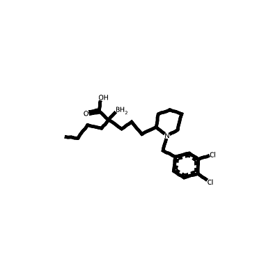 BC(CCCC)(CCCC1CCCCN1Cc1ccc(Cl)c(Cl)c1)C(=O)O